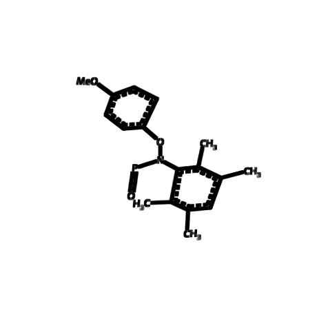 COc1ccc(ON(P=O)c2c(C)c(C)cc(C)c2C)cc1